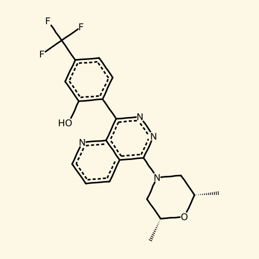 C[C@@H]1CN(c2nnc(-c3ccc(C(F)(F)F)cc3O)c3ncccc23)C[C@H](C)O1